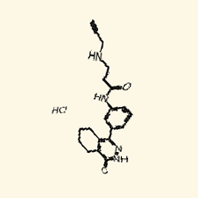 C#CCNCCC(=O)Nc1cccc(-c2n[nH]c(=O)c3c2CCCC3)c1.Cl